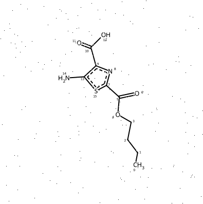 CCCCOC(=O)c1nc(C(=O)O)c(N)s1